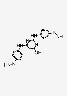 N=Nc1ccc(Nc2nc(O)nc(Nc3ccc(N=N)cc3)n2)cc1